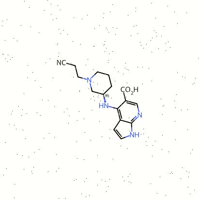 N#CCCN1CCC[C@@H](Nc2c(C(=O)O)cnc3[nH]ccc23)C1